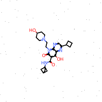 O=C(NC12CC(C1)C2)c1c(O)c2nc(C3CCC3)cnc2n(CCN2CCC(O)CC2)c1=O